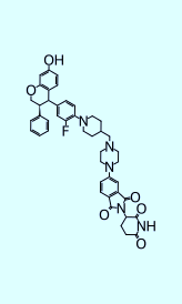 O=C1CCC(N2C(=O)c3ccc(N4CCN(CC5CCN(c6ccc(C7c8ccc(O)cc8OC[C@@H]7c7ccccc7)cc6F)CC5)CC4)cc3C2=O)C(=O)N1